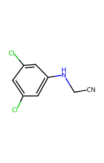 N#CCNc1cc(Cl)cc(Cl)c1